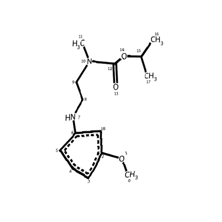 COc1cccc(NCCN(C)C(=O)OC(C)C)c1